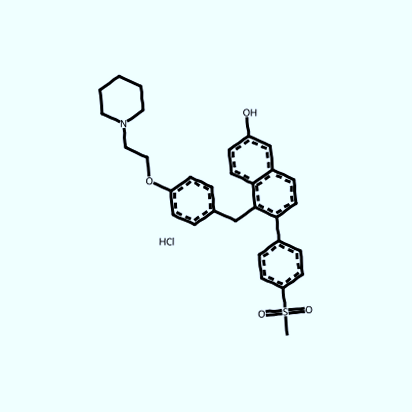 CS(=O)(=O)c1ccc(-c2ccc3cc(O)ccc3c2Cc2ccc(OCCN3CCCCC3)cc2)cc1.Cl